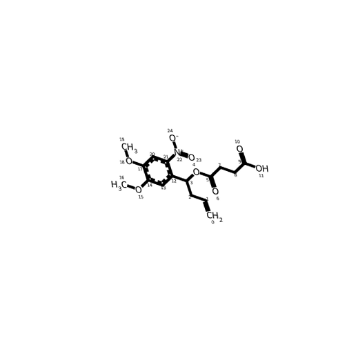 C=CCC(OC(=O)CCC(=O)O)c1cc(OC)c(OC)cc1[N+](=O)[O-]